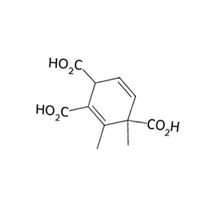 CC1=C(C(=O)O)C(C(=O)O)C=CC1(C)C(=O)O